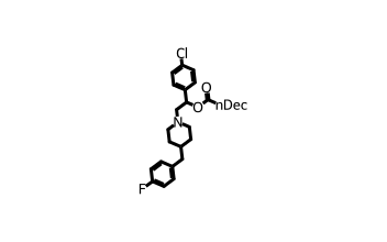 CCCCCCCCCCC(=O)OC(CN1CCC(Cc2ccc(F)cc2)CC1)c1ccc(Cl)cc1